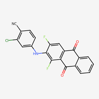 N#Cc1ccc(Nc2c(F)cc3c(c2F)C(=O)c2ccccc2C3=O)cc1Cl